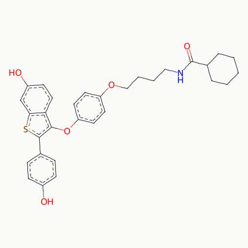 O=C(NCCCCOc1ccc(Oc2c(-c3ccc(O)cc3)sc3cc(O)ccc23)cc1)C1CCCCC1